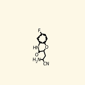 N#CC(N)CC1Oc2ccc(F)cc2NC1=O